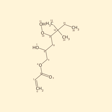 C=CC(=O)OCC(O)CC(OO)C(C)(C)CC